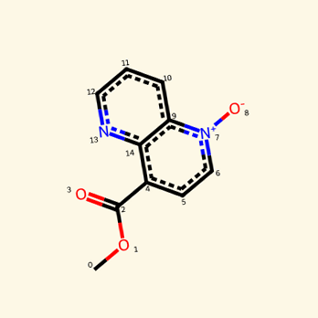 COC(=O)c1cc[n+]([O-])c2cccnc12